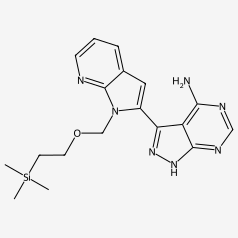 C[Si](C)(C)CCOCn1c(-c2n[nH]c3ncnc(N)c23)cc2cccnc21